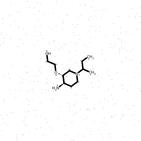 CCC(C)N1CC[C@@H](N)[C@H](OCCO)C1